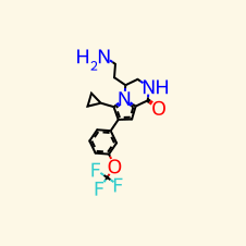 NCCC1CNC(=O)c2cc(-c3cccc(OC(F)(F)F)c3)c(C3CC3)n21